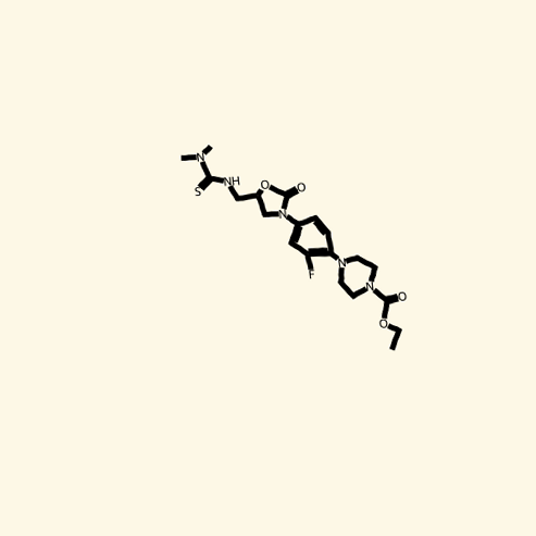 CCOC(=O)N1CCN(c2ccc(N3CC(CNC(=S)N(C)C)OC3=O)cc2F)CC1